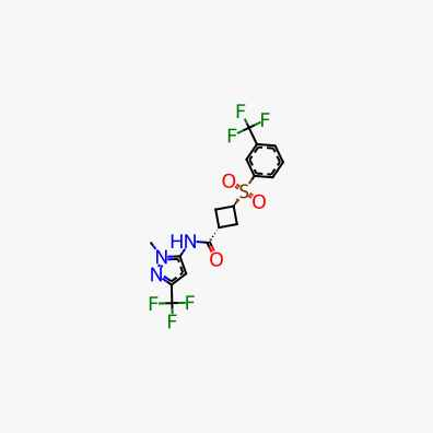 Cn1nc(C(F)(F)F)cc1NC(=O)[C@H]1C[C@H](S(=O)(=O)c2cccc(C(F)(F)F)c2)C1